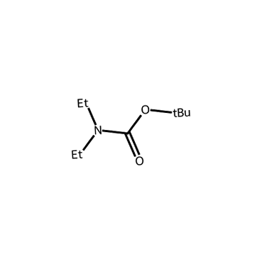 CCN(CC)C(=O)OC(C)(C)C